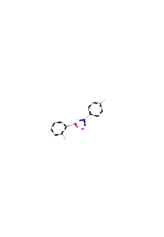 CCCCc1ccc(-c2noc(-c3ccccc3C)n2)cc1